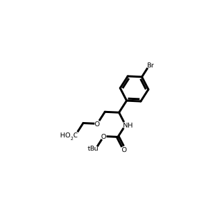 CC(C)(C)OC(=O)NC(COCC(=O)O)c1ccc(Br)cc1